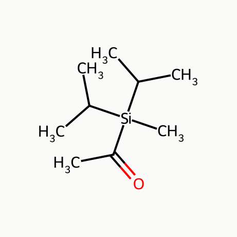 CC(=O)[Si](C)(C(C)C)C(C)C